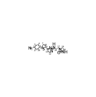 N#Cc1ccc(-c2ccc(-c3ccnc(NCCN4CCNC4=O)n3)s2)cc1